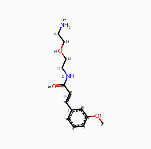 COc1cccc(/C=C/C(=O)NCCOCCN)c1